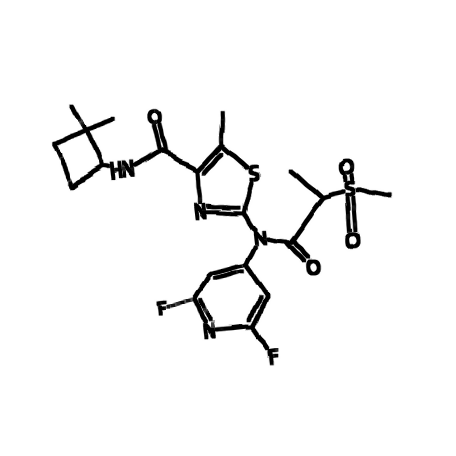 Cc1sc(N(C(=O)C(C)S(C)(=O)=O)c2cc(F)nc(F)c2)nc1C(=O)NC1CCC1(C)C